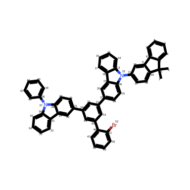 CC1(C)c2ccccc2-c2cc(-n3c4ccccc4c4cc(-c5cc(-c6ccc7c(c6)c6ccccc6n7-c6ccccc6)cc(-c6ccccc6Br)c5)ccc43)ccc21